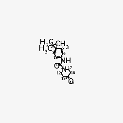 CC(C)(C)c1ccc(NC(=O)N2CCC(=O)CC2)cc1